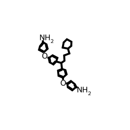 Nc1ccc(Oc2ccc(C(CCCC3CCCCC3)c3ccc(Oc4ccc(N)cc4)cc3)cc2)cc1